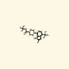 Cc1cc2c(C(F)(F)F)cnc(N3CCN(C(=O)OC(C)(C)C)CC3)c2[nH]1